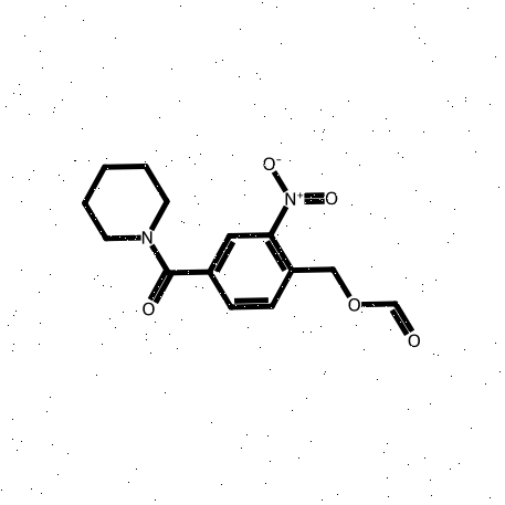 O=COCc1ccc(C(=O)N2CCCCC2)cc1[N+](=O)[O-]